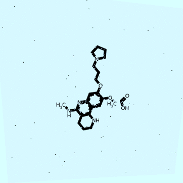 CNc1nc2cc(OCCCN3CCCC3)c(OC)cc2c2c1CCCN2.O=CO